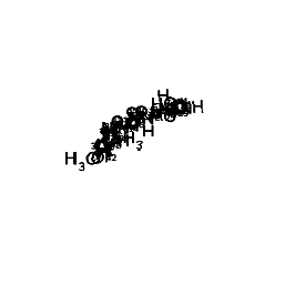 COc1ccc(-c2cnc(C(=O)Nc3ccc(C(=O)N[C@H]4C[C@@H](NC(=O)C5(O)CCNCC5)C4)c(Cl)c3)n2C)c(F)c1F